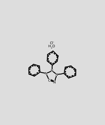 O.[C+]1=NN(c2ccccc2)N(c2ccccc2)N1c1ccccc1.[Cl-]